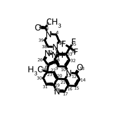 CC(=O)N1CCN(c2ccc(-n3c(=O)ccc4cnc5c(c43)=CC(C)(c3cn[nH]c3)CC=5)cc2C(F)(F)F)CC1